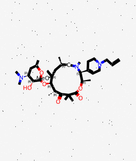 C=CCN1CC=C([C@H]2[C@@H](C)OC(=O)C(C)(C)C(=O)[C@H](C)[C@@H](OC3OC(C)C[C@@H](N(C)C)[C@H]3O)[C@](C)(OC)C[C@@H](C)CN2C)CC1